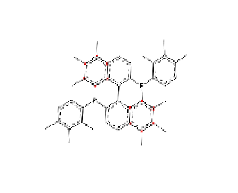 Cc1ccc(P(c2ccc(C)c(C)c2C)c2ccc3ccccc3c2-c2c(P(c3ccc(C)c(C)c3C)c3ccc(C)c(C)c3C)ccc3ccccc23)c(C)c1C